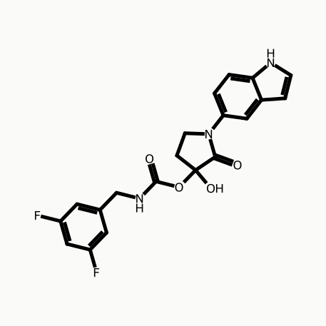 O=C(NCc1cc(F)cc(F)c1)OC1(O)CCN(c2ccc3[nH]ccc3c2)C1=O